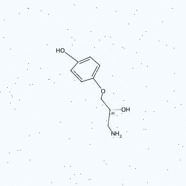 NC[C@@H](O)COc1ccc(O)cc1